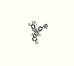 CCc1c(N(Cc2ccc(C(F)(F)F)c(F)c2)S(=O)(=O)c2ccc(-n3cccn3)cc2)nc2ccc(Cl)cn12